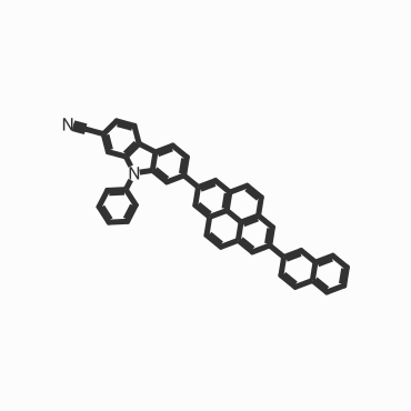 N#Cc1ccc2c3ccc(-c4cc5ccc6cc(-c7ccc8ccccc8c7)cc7ccc(c4)c5c67)cc3n(-c3ccccc3)c2c1